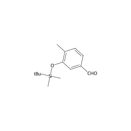 Cc1ccc(C=O)cc1O[Si](C)(C)C(C)(C)C